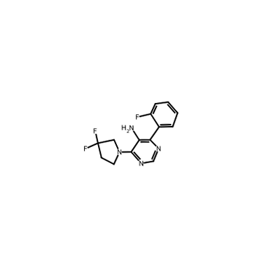 Nc1c(-c2ccccc2F)ncnc1N1CCC(F)(F)C1